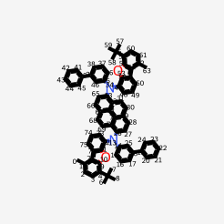 Cc1ccc(C(C)(C)C)c2oc3c(N(c4cccc(-c5ccccc5)c4)c4ccc5ccc6c(N(c7cccc(-c8ccccc8)c7)c7cccc8c7oc7c(C(C)(C)C)ccc(C)c78)ccc7ccc4c5c76)cccc3c12